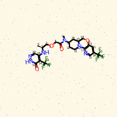 C[C@@H](COCC(=O)N(C)C1CCN2c3ncc(C(F)(F)F)cc3OCC2C1)Nc1cn[nH]c(=O)c1C(F)(F)F